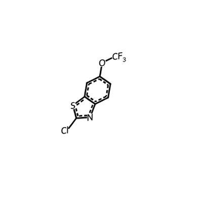 FC(F)(F)Oc1ccc2nc(Cl)sc2c1